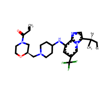 [2H]C[C@@]([2H])(C)c1cnc2c(NC3CCN(C[C@@H]4CN(C(=O)C=C)CCO4)CC3)cc(C(F)(F)F)cn12